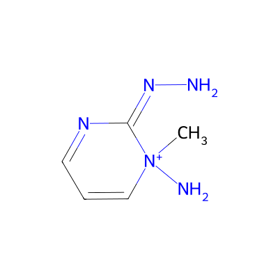 C[N+]1(N)C=CC=NC1=NN